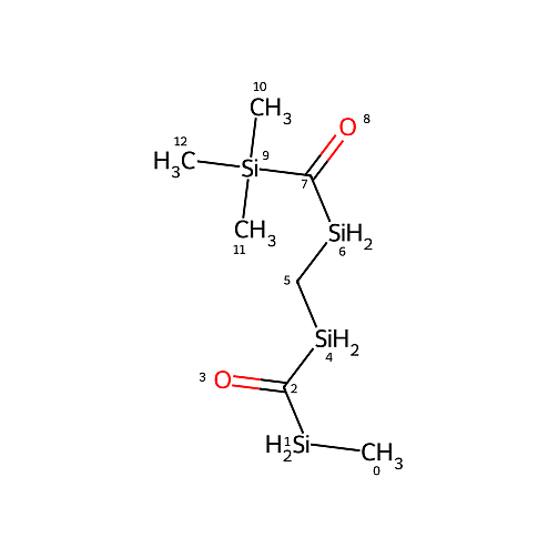 C[SiH2]C(=O)[SiH2]C[SiH2]C(=O)[Si](C)(C)C